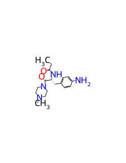 CCC(=O)N[C@H](Cc1ccc(N)cc1)C(=O)N1CCN(C)CC1